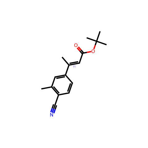 C/C(=C\C(=O)OC(C)(C)C)c1ccc(C#N)c(C)c1